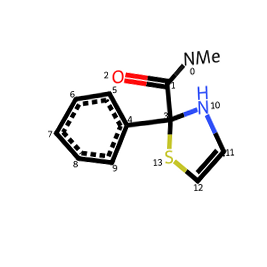 CNC(=O)C1(c2ccccc2)N[C]=CS1